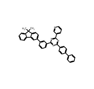 CC1(C)c2ccccc2-c2cc(-c3cccc(-c4nc(-c5ccc(-c6ccccc6)cc5)nc(-c5cccnc5)n4)c3)ccc21